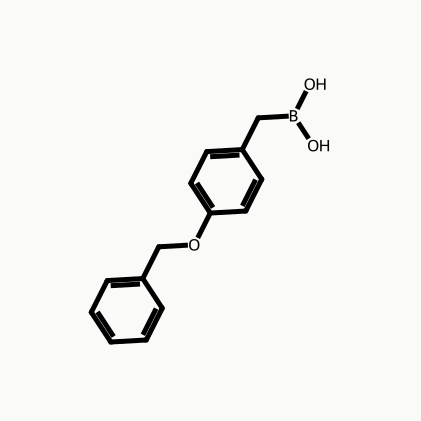 OB(O)Cc1ccc(OCc2ccccc2)cc1